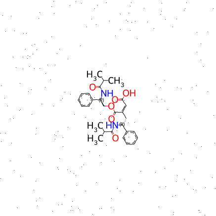 CC(C)C(=O)N[C@@H](COC(=O)C(=CC(=O)O)C[C@@H](NC(=O)C(C)C)c1ccccc1)c1ccccc1